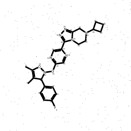 CC1=C(C)C(c2ccc(F)cc2)N(Oc2cnc(-c3nnc4n3CCN(C3CCC3)C4)cn2)O1